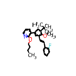 CCCCOc1ncccc1-c1cc(/C=C/c2ccccc2F)c(OC)c(C(C)(C)C)c1